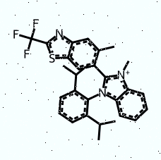 Cc1cc2nc(C(F)(F)F)sc2cc1-c1n(-c2c(C(C)C)cccc2C(C)C)c2ccccc2[n+]1C